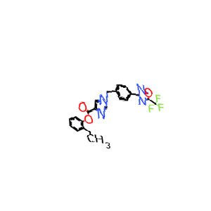 CCc1ccccc1OC(=O)c1cn(Cc2ccc(-c3noc(C(F)(F)F)n3)cc2)cn1